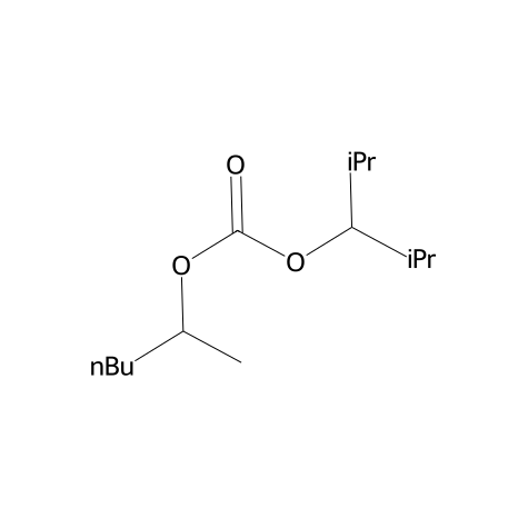 CCCCC(C)OC(=O)OC(C(C)C)C(C)C